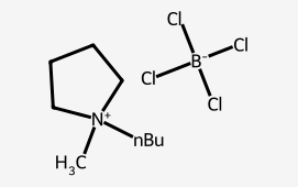 CCCC[N+]1(C)CCCC1.Cl[B-](Cl)(Cl)Cl